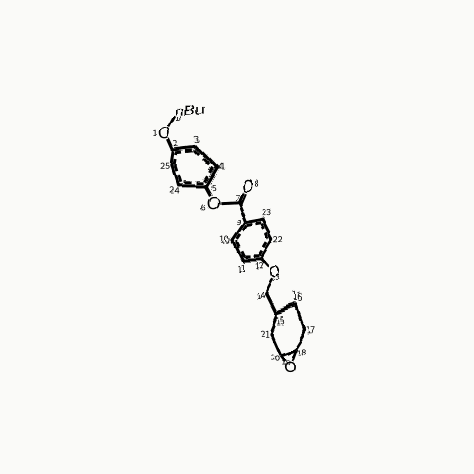 CCCCOc1ccc(OC(=O)c2ccc(OCC3CCC4OC4C3)cc2)cc1